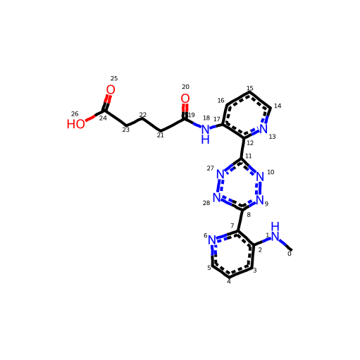 CNc1cccnc1-c1nnc(-c2ncccc2NC(=O)CCCC(=O)O)nn1